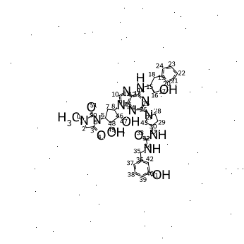 CN1CC(=O)N([C@H]2C[C@@H](n3cnc4c(N[C@H](CO)Cc5ccccc5)nc(N5CC[C@@H](NC(=O)NCc6cccc(O)c6)C5)nc43)[C@H](O)[C@@H]2O)C1=O